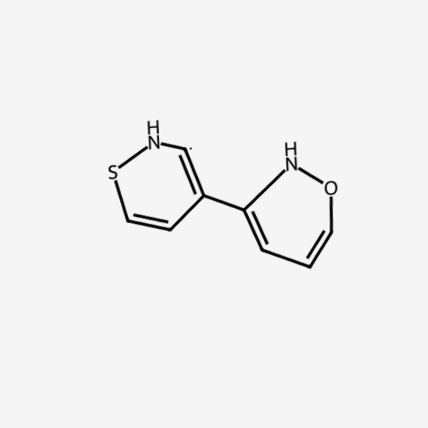 [C]1=C(C2=CC=CON2)C=CSN1